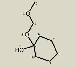 COCOC1(O)CCCCC1